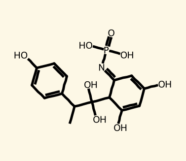 CC(c1ccc(O)cc1)C(O)(O)C1C(O)=CC(O)=CC1=NP(=O)(O)O